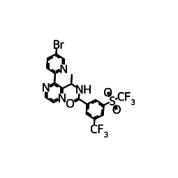 CC(NC(=O)c1cc(C(F)(F)F)cc(S(=O)(=O)C(F)(F)F)c1)c1nccnc1-c1ccc(Br)cn1